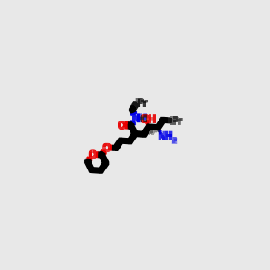 CC(C)CNC(=O)C(CCCOC1CCCCO1)C[C@H](O)[C@@H](N)CC(C)C